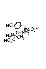 CC(C)(N)C(=O)O.N[C@@H](Cc1ccc(O)cc1)C(=O)O